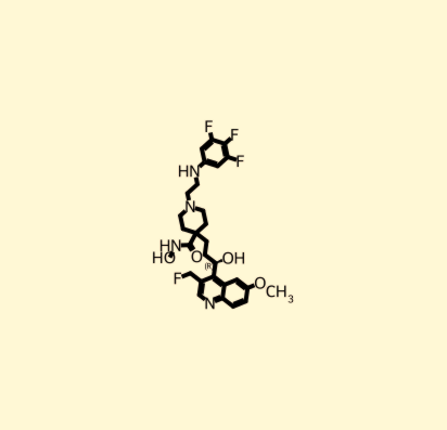 COc1ccc2ncc(CF)c([C@H](O)CCC3(C(=O)NO)CCN(CCNc4cc(F)c(F)c(F)c4)CC3)c2c1